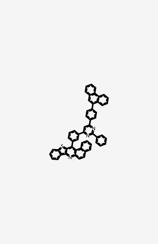 c1ccc(-c2nc(-c3ccc(-c4cc5ccccc5c5ccccc45)cc3)cc(-c3cccc(-c4c5sc6ccccc6c5nc5ccc6ccccc6c45)c3)n2)cc1